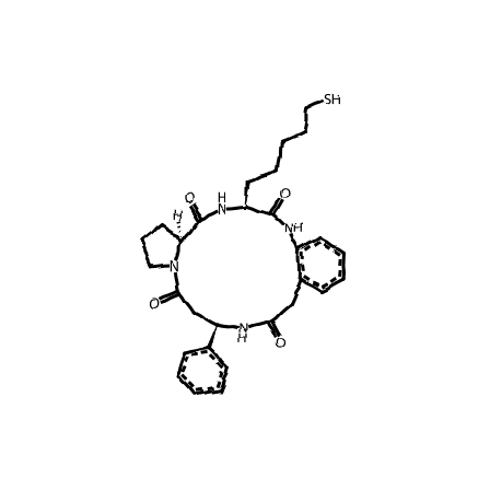 O=C1Cc2ccccc2NC(=O)[C@H](CCCCCS)NC(=O)[C@@H]2CCCN2C(=O)C[C@H](c2ccccc2)N1